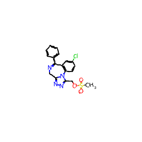 CS(=O)(=O)OCc1nnc2n1-c1ccc(Cl)cc1C(c1ccccc1)=NC2